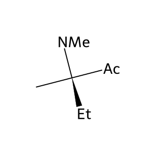 CC[C@@](C)(NC)C(C)=O